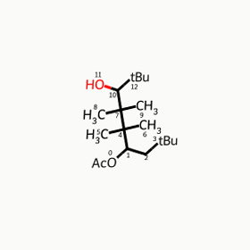 CC(=O)OC(CC(C)(C)C)C(C)(C)C(C)(C)C(O)C(C)(C)C